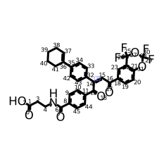 O=C(O)CCNC(=O)c1ccc(C(=O)/C(=C\C(=O)c2ccc3c(c2)C(F)(F)OC(F)(F)O3)c2ccc(C3=CCCCC3)cc2)cc1